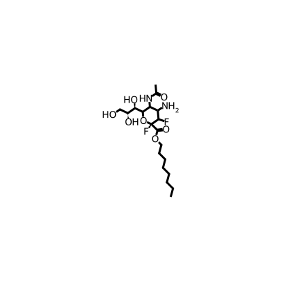 CCCCCCCCOC(=O)[C@]1(F)OC([C@H](O)[C@H](O)CO)C(NC(C)=O)C(N)C1F